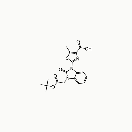 Cc1sc(-n2c(=O)n(CC(=O)OC(C)(C)C)c3ccccc32)nc1C(=O)O